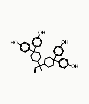 C=CC(C)(C1CCC(c2ccc(O)cc2)(c2ccc(O)cc2)CC1)C1CCC(c2ccc(O)cc2)(c2ccc(O)cc2)CC1